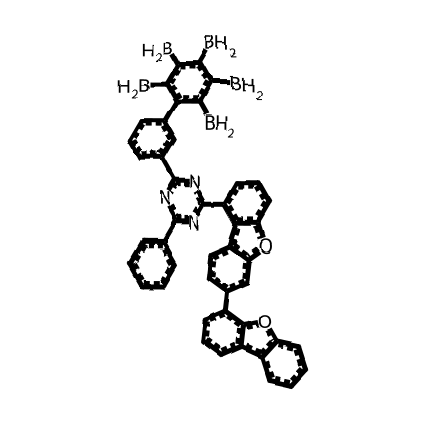 Bc1c(B)c(B)c(-c2cccc(-c3nc(-c4ccccc4)nc(-c4cccc5oc6cc(-c7cccc8c7oc7ccccc78)ccc6c45)n3)c2)c(B)c1B